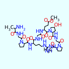 COC(=O)CCC(NC(=O)CNC(=O)C(CCCNC(=N)N)NC(=O)C1CCCN1C(=O)CNC(=O)C(C)N)C(=O)N1CC(O)CC1C(=O)NCC(=O)N1CCCC1C(C)=O